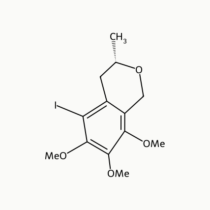 COc1c(I)c2c(c(OC)c1OC)CO[C@@H](C)C2